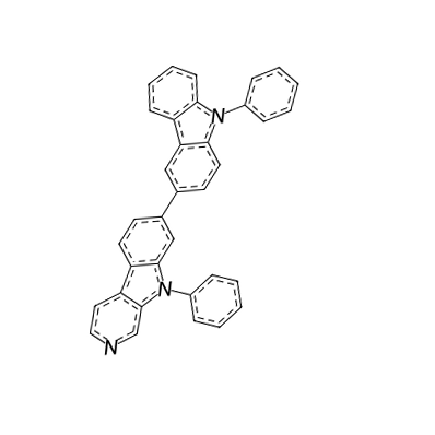 c1ccc(-n2c3ccccc3c3cc(-c4ccc5c6ccncc6n(-c6ccccc6)c5c4)ccc32)cc1